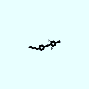 C#Cc1cc(F)c(C#Cc2ccc(CCCCC)cc2)c(F)c1